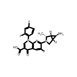 C[C@@H]1[C@@H]2[C@@H](N)[C@@H]2CN1c1nc2c(cc1F)c(=O)c(C(=O)O)cn2-c1ccc(F)cc1F